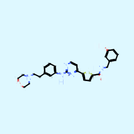 O=C(NCc1cccc(O)c1)c1ccc(-c2ccnc(Nc3cccc(CCN4CCOCC4)c3)n2)s1